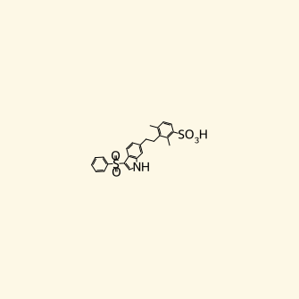 Cc1ccc(S(=O)(=O)O)c(C)c1CCc1ccc2c(S(=O)(=O)c3ccccc3)c[nH]c2c1